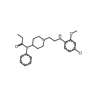 CCC(=O)N(c1ccccc1)C1CCN(CCNc2ccc(Cl)cc2OC)CC1